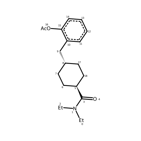 CCN(CC)C(=O)[C@H]1CC[C@H](Cc2ccccc2OC(C)=O)CC1